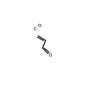 C=CC=O.[C].[O]